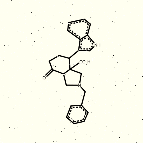 O=C1CCC(c2c[nH]c3ccccc23)C2(C(=O)O)CN(Cc3ccccc3)CC12